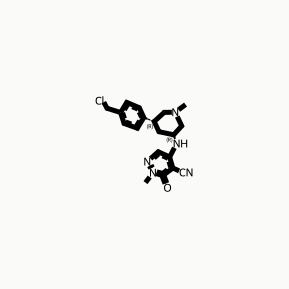 CN1C[C@H](Nc2cnn(C)c(=O)c2C#N)C[C@H](c2ccc(CCl)cc2)C1